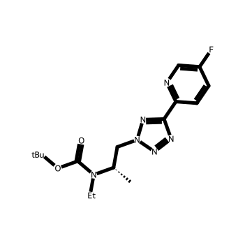 CCN(C(=O)OC(C)(C)C)[C@@H](C)Cn1nnc(-c2ccc(F)cn2)n1